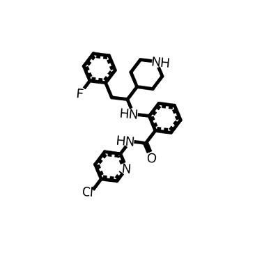 O=C(Nc1ccc(Cl)cn1)c1ccccc1NC(Cc1ccccc1F)C1CCNCC1